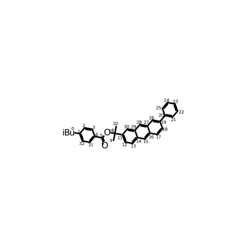 CCC(C)c1ccc(C(=O)OC(C)(C)c2ccc3cc4ccc(-c5ccccc5)cc4cc3c2)cc1